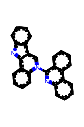 c1ccc2c3cn(-c4nc5ccccc5c5ccccc45)c4ccccc4c-3nc2c1